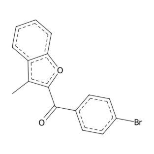 Cc1c(C(=O)c2ccc(Br)cc2)oc2ccccc12